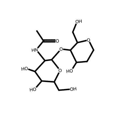 CC(=O)NC1C(OC2C(O)CCOC2CO)OC(CO)C(O)C1O